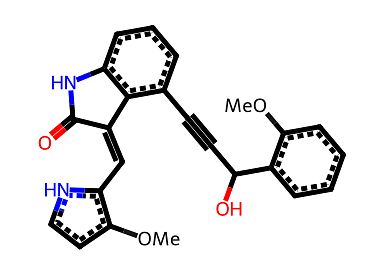 COc1ccccc1C(O)C#Cc1cccc2c1C(=Cc1[nH]ccc1OC)C(=O)N2